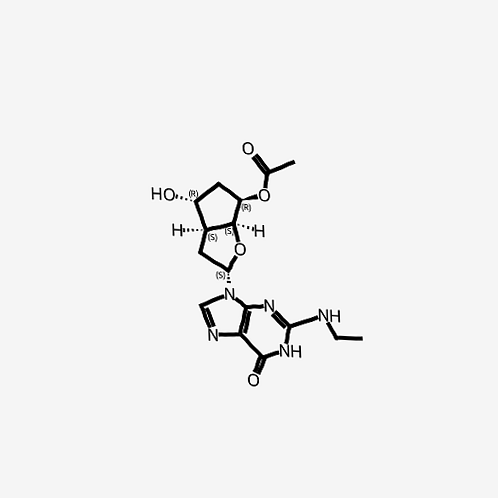 CCNc1nc2c(ncn2[C@@H]2C[C@@H]3[C@H](O2)[C@H](OC(C)=O)C[C@H]3O)c(=O)[nH]1